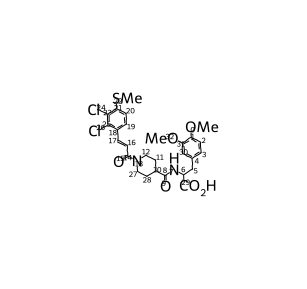 COc1ccc(CC(NC(=O)C2CCN(C(=O)/C=C/c3ccc(SC)c(Cl)c3Cl)CC2)C(=O)O)cc1OC